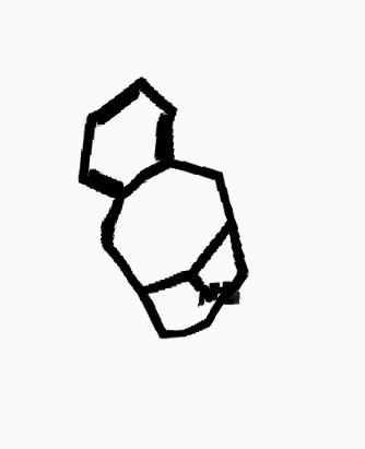 NC1C2CCCC1Cc1ccccc1C2